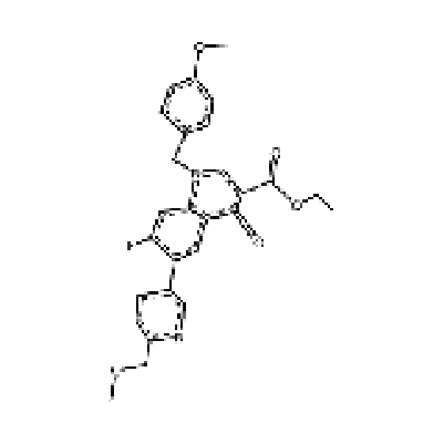 CCOC(=O)c1cn(Cc2ccc(OC)cc2)c2cc(F)c(-c3ccc(COC)nc3)cc2c1=O